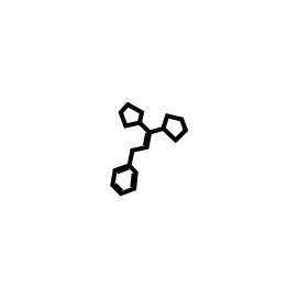 C(Cc1ccccc1)=C(C1CCCC1)C1CCCC1